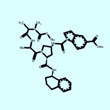 COC(=O)c1ccc2c(ccn2C(=O)N[C@H]2C[C@@H](C(=O)N[C@@H]3CCCc4ccccc43)N(C(=O)C(NC(=O)C(C)N(C)C(=O)OC(C)(C)C)C(C)(C)C)C2)c1